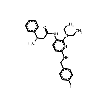 CCN(CC)c1nc(NCc2ccc(F)cc2)ccc1NC(=O)C[C@@H](C)c1ccccc1